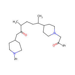 CC(C)C(=O)CN1CCC(C(C)CCC(C)C(=O)CC2CCN(C(C)C)CC2)CC1